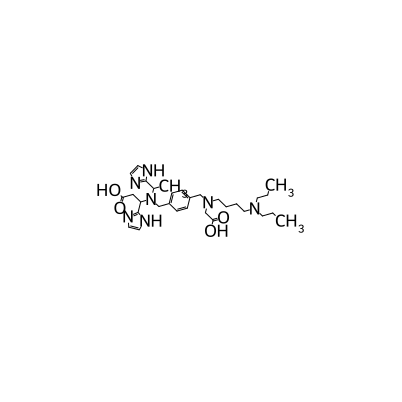 CCCN(CCC)CCCCN(CC(=O)O)Cc1ccc(CN(C(C)c2ncc[nH]2)C(CC(=O)O)c2ncc[nH]2)cc1